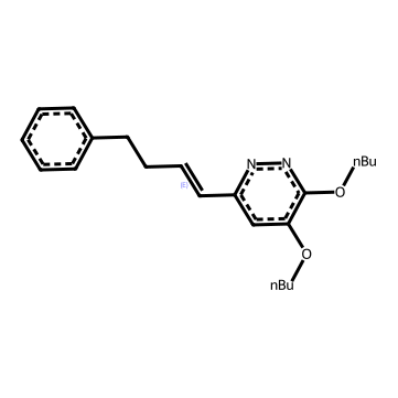 CCCCOc1cc(/C=C/CCc2ccccc2)nnc1OCCCC